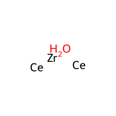 O.[Ce].[Ce].[Zr]